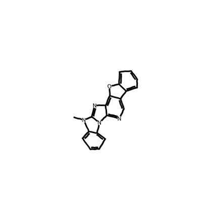 Cn1c2ccccc2n2c3ncc4c5ccccc5oc4c3nc12